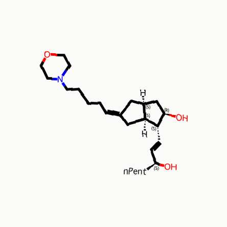 CCCCC[C@H](O)C=C[C@@H]1[C@H]2CC(=CCCCCN3CCOCC3)C[C@H]2C[C@H]1O